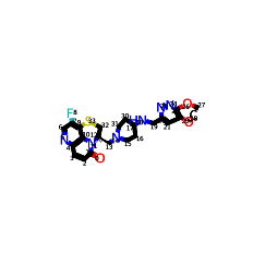 O=c1ccc2ncc(F)c3c2n1[C@H](CN1CCC(NCc2cc4c(nn2)OCCO4)CC1)CS3